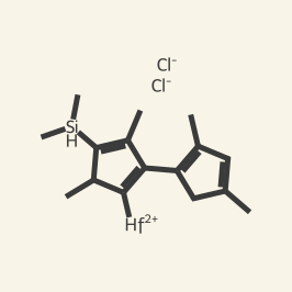 CC1=CC(C)=C(C2=[C]([Hf+2])C(C)C([SiH](C)C)=C2C)C1.[Cl-].[Cl-]